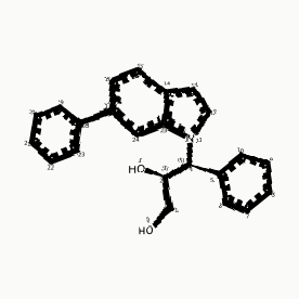 OC[C@@H](O)[C@H](c1ccccc1)n1ccc2ccc(-c3ccccc3)cc21